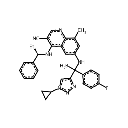 BC(Nc1cc(C)c2ncc(C#N)c(N[C@H](CC)c3ccccc3)c2c1)(c1ccc(F)cc1)c1cn(C2CC2)nn1